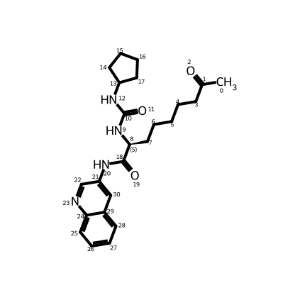 CC(=O)CCCCC[C@H](NC(=O)NC1CCCC1)C(=O)Nc1cnc2ccccc2c1